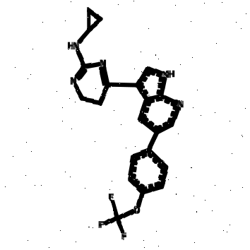 FC(F)(F)Oc1ccc(-c2cnc3[nH]cc(C4=NC(NC5CC5)=NCC4)c3c2)cc1